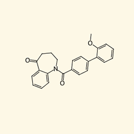 COc1ccccc1-c1ccc(C(=O)N2CCCC(=O)c3ccccc32)cc1